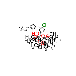 C[Si](C)(C)OC[C@H]1OC(O)(c2ccc(Cl)c(Cc3ccc(C4CCC5(CCC5)CC4)cc3)c2)[C@H](O[Si](C)(C)C)[C@@H](O[Si](C)(C)C)[C@@H]1O[Si](C)(C)C